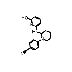 N#Cc1ccc(N2CCCCC2Nc2cccc(O)n2)cc1